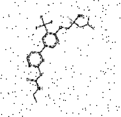 CCNC(=O)Oc1nccc(-c2ccc(OC[C@@](C)(N)CC(C)C)c(C(F)(F)F)c2)n1